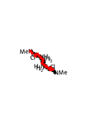 CNCCCOc1ccc(CCN(N)/C=C(\N)c2ccc(/C(N)=C/N(N)CCc3ccc(OCCCNC)c(Cl)c3)cc2)cc1Cl